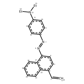 C=Cc1ccc(N=Nc2ccc(N(CC)CC)cc2)c2ccccc12